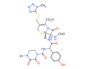 CCN1CCN(C(=O)NC(C(=O)N[C@]2(NC=O)C(=O)N3C(C(=O)O)=C(CSc4nnnn4C)CS[C@H]32)c2ccc(O)cc2)C(=O)C1=O